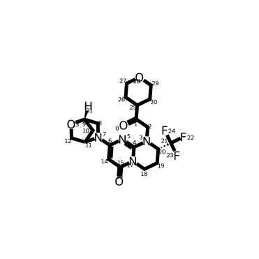 O=C(CN1c2nc(N3C[C@@H]4CC3CO4)cc(=O)n2CC[C@H]1C(F)(F)F)C1CCOCC1